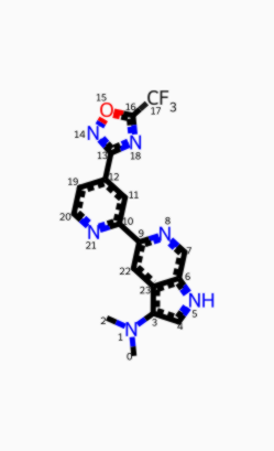 CN(C)c1c[nH]c2cnc(-c3cc(-c4noc(C(F)(F)F)n4)ccn3)cc12